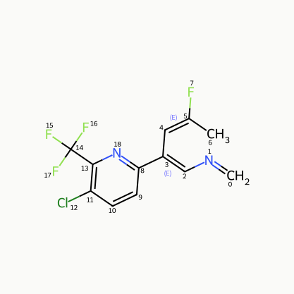 C=N/C=C(\C=C(/C)F)c1ccc(Cl)c(C(F)(F)F)n1